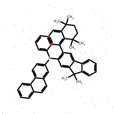 CC1(C)CCC(C)(C)c2c(-c3cc4c(cc3N(c3ccccc3)c3ccc5c(ccc6ccccc65)c3)C(C)(C)c3ccccc3-4)cccc21